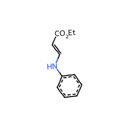 CCOC(=O)C=CNc1ccccc1